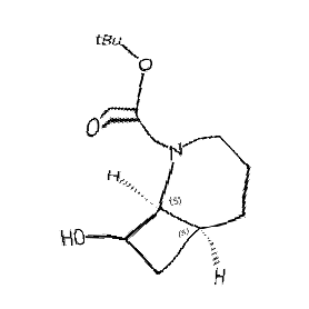 CC(C)(C)OC(=O)N1CCC[C@H]2CC(O)[C@H]21